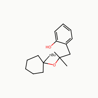 CCCCC1(OC(C)(C)Cc2ccccc2O)CCCCC1